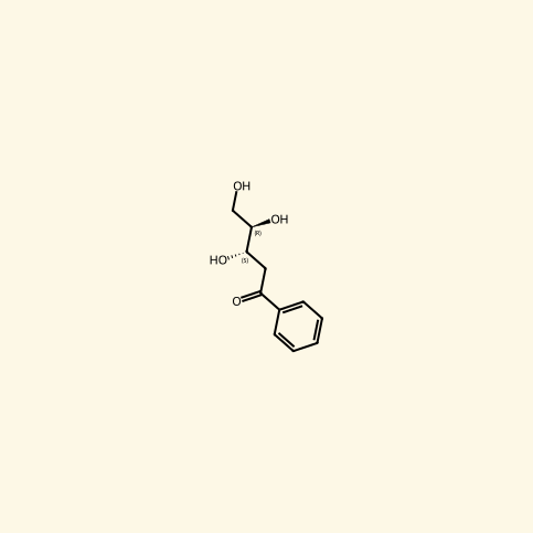 O=C(C[C@H](O)[C@H](O)CO)c1ccccc1